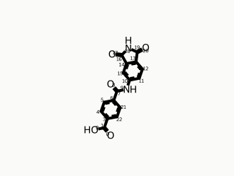 O=C(O)c1ccc(C(=O)Nc2ccc3c(c2)C(=O)NC3=O)cc1